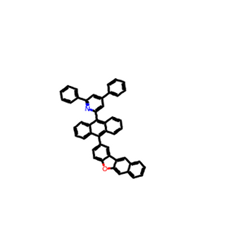 c1ccc(-c2cc(-c3ccccc3)nc(-c3c4ccccc4c(-c4ccc5oc6cc7ccccc7cc6c5c4)c4ccccc34)c2)cc1